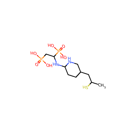 CC(S)CC1CCC(NC(CP(=O)(O)O)P(=O)(O)O)NC1